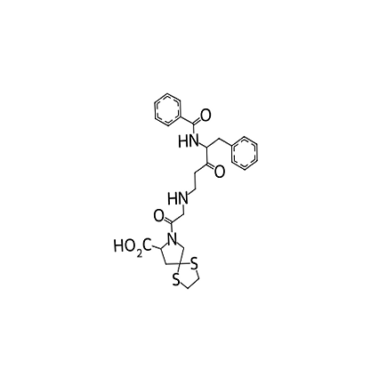 O=C(NC(Cc1ccccc1)C(=O)CCNCC(=O)N1CC2(CC1C(=O)O)SCCS2)c1ccccc1